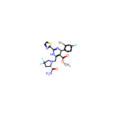 COC(=O)C1=C(CN2CC(F)(F)C[C@H]2C(N)=O)NC(c2nccs2)=NC1c1ccc(F)cc1Br